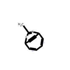 CC1=NC2C#CC(/C=C\C=C/2)C1